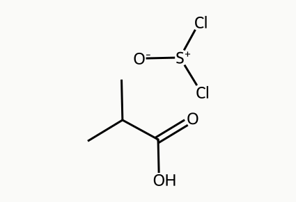 CC(C)C(=O)O.[O-][S+](Cl)Cl